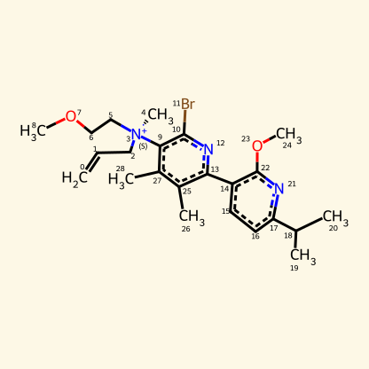 C=CC[N@@+](C)(CCOC)c1c(Br)nc(-c2ccc(C(C)C)nc2OC)c(C)c1C